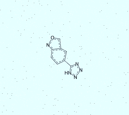 c1cc2nocc2cc1-c1nnn[nH]1